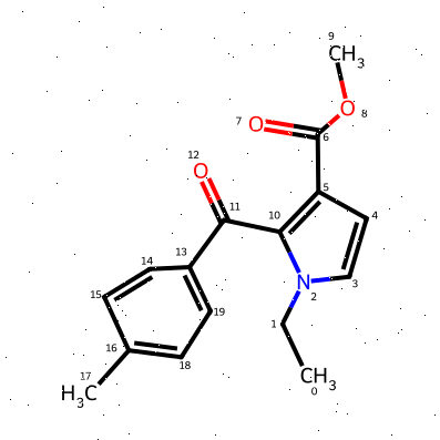 CCn1ccc(C(=O)OC)c1C(=O)c1ccc(C)cc1